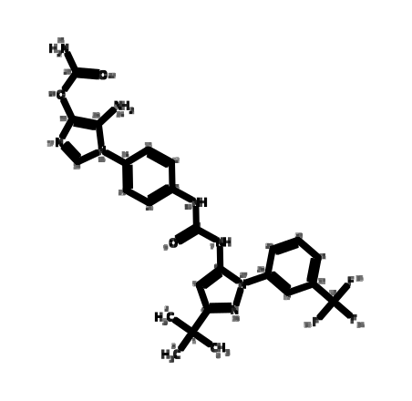 CC(C)(C)c1cc(NC(=O)Nc2ccc(-n3cnc(OC(N)=O)c3N)cc2)n(-c2cccc(C(F)(F)F)c2)n1